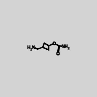 NC[C@H]1C[C@@H](OC(N)=O)C1